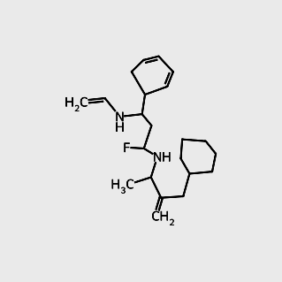 C=CNC(CC(F)NC(C)C(=C)CC1CCCCC1)C1C=CC=CC1